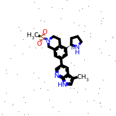 Cc1c[nH]c2ncc(-c3cc4c(c([C@@H]5CCCN5)c3)CCN(S(C)(=O)=O)C4)cc12